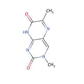 Cc1nc2cn(C)c(=O)nc2[nH]c1=O